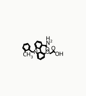 Cc1ccccc1Cn1c2cccc(OCC(=O)O)c2c2c(C(N)=O)cccc21